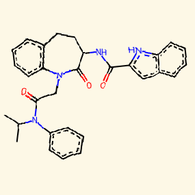 CC(C)N(C(=O)CN1C(=O)C(NC(=O)c2cc3ccccc3[nH]2)CCc2ccccc21)c1ccccc1